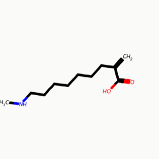 C=C(CCCCCCCNC)C(=O)O